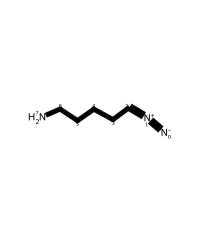 [N-]=[N+]=CCCCCN